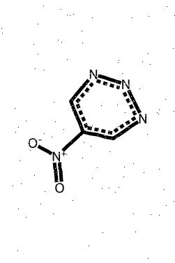 O=[N+]([O-])c1cnnnc1